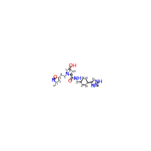 Cc1cc(CCN2C[C@H](O)C[C@H]2C(=O)NCc2ccc(-c3c[nH]nn3)cc2)on1